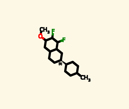 COC1CC2CC[C@@H](C3CCC(C)CC3)CC2C(F)C1F